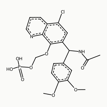 COc1ccc(C(NC(C)=O)c2cc(Cl)c3cccnc3c2OCOP(=O)(O)O)cc1OC